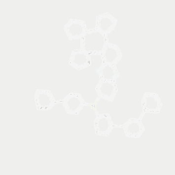 c1ccc(-c2ccc(N(c3cccc(-c4cccc(-c5ccccc5)c4)c3)c3ccc4oc5ccc6c7ccccc7c7ccccc7c7ccccc7c6c5oc4c3)cc2)cc1